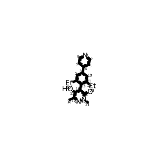 CCc1cc(-c2ccncc2)cc(CC)c1-c1c(O)c(C)nn(C)c1=O